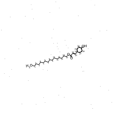 CCCCCCCCCCCCCCCCOC(=O)C=Cc1ccc(O)cc1